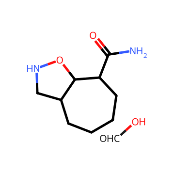 NC(=O)C1CCCCC2CNOC21.O=CO